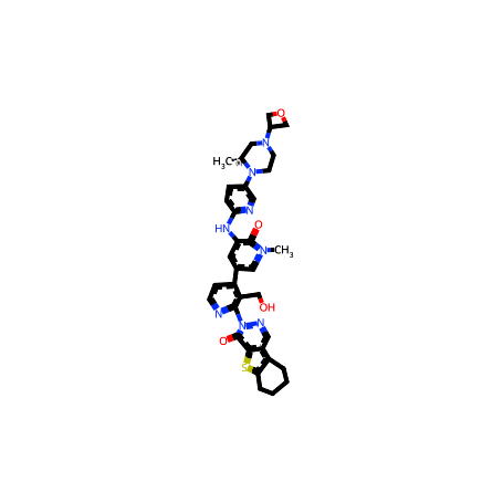 C[C@@H]1CN(C2COC2)CCN1c1ccc(Nc2cc(-c3ccnc(-n4ncc5c6c(sc5c4=O)CCCC6)c3CO)cn(C)c2=O)nc1